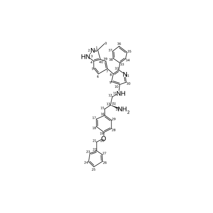 Cc1n[nH]c2ccc(-c3cc(NC[C@@H](N)Cc4ccc(OCc5ccccc5)cc4)cnc3-c3ccccc3)cc12